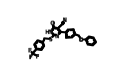 N#Cc1c(-c2ccc(COc3ccccc3)cc2)nc(SCc2ccc(C(F)(F)F)cc2)[nH]c1=O